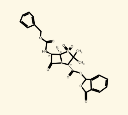 CC1(C)[C@H](C(=O)OC2OC(=O)c3ccccc32)N2C(=O)[C@@H](NC(=O)OCc3ccccc3)[C@H]2S1(=O)=O